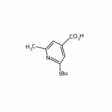 Cc1cc(C(=O)O)cc(C(C)(C)C)n1